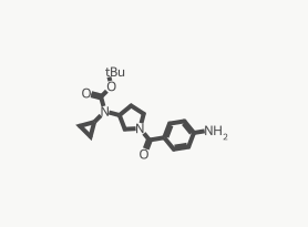 CC(C)(C)OC(=O)N(C1CC1)C1CCN(C(=O)c2ccc(N)cc2)C1